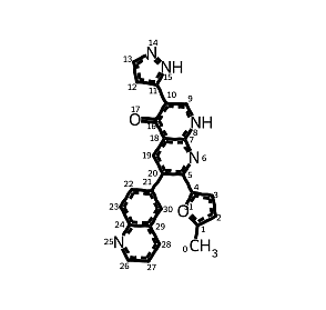 Cc1ccc(-c2nc3[nH]cc(-c4ccn[nH]4)c(=O)c3cc2-c2ccc3ncccc3c2)o1